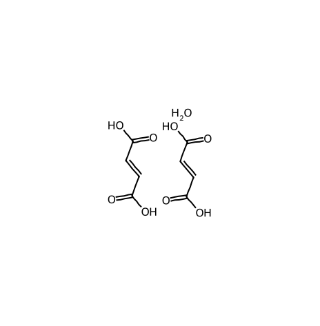 O.O=C(O)C=CC(=O)O.O=C(O)C=CC(=O)O